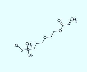 C=CC(=O)OCCOCCCS(C)(SCl)C(C)C